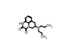 CCCN(CCC)C1Cc2cccc3[nH]c(=O)c(=O)n(c23)C1